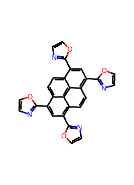 c1coc(-c2cc(-c3ncco3)c3ccc4c(-c5ncco5)cc(-c5ncco5)c5ccc2c3c54)n1